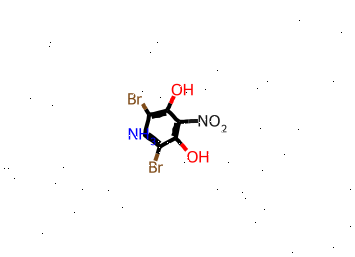 N.O=[N+]([O-])c1c(O)c(Br)cc(Br)c1O